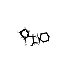 [CH2]C1OC2(CCCCC2)OC1c1ccccc1F